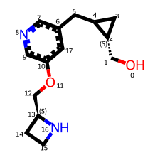 OC[C@H]1CC1Cc1cncc(OC[C@@H]2CCN2)c1